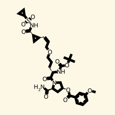 COc1cccc(C(=O)O[C@@H]2C[C@@H](C(N)=O)N(C(=O)[C@H](CCCOC/C=C\[C@@H]3C[C@@H]3C(=O)NS(=O)(=O)C3CC3)NC(=O)OC(C)(C)C)C2)c1